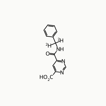 [2H]C([2H])(NC(=O)c1cc(C(=O)O)ncn1)c1ccccc1